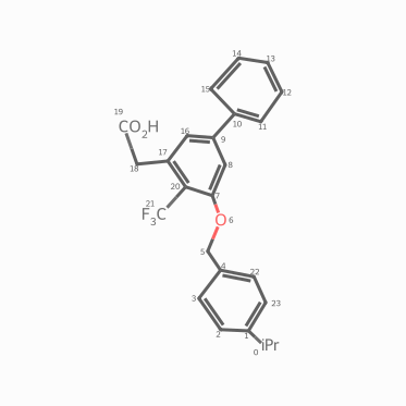 CC(C)c1ccc(COc2cc(-c3ccccc3)cc(CC(=O)O)c2C(F)(F)F)cc1